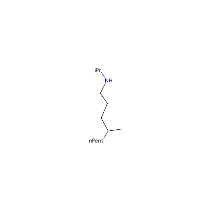 CCCCCC(C)CCCNC(C)C